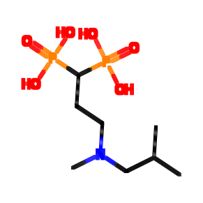 CC(C)CN(C)CCC(P(=O)(O)O)P(=O)(O)O